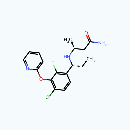 CC[C@@H](N[C@@H](C)CC(N)=O)c1ccc(Cl)c(Oc2ccccn2)c1F